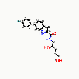 O=C(NCC(O)CCCO)c1cc2ccc(-c3ccc(F)cc3)cc2[nH]1